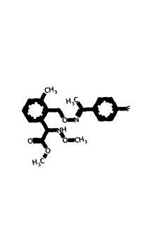 CONC(C(=O)OC)c1cccc(C)c1CO/N=C(\C)c1ccc(F)cc1